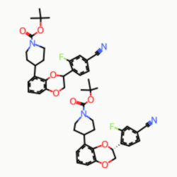 CC(C)(C)OC(=O)N1CCC(c2cccc3c2OC(c2ccc(C#N)cc2F)CO3)CC1.CC(C)(C)OC(=O)N1CCC(c2cccc3c2O[C@H](c2ccc(C#N)cc2F)CO3)CC1